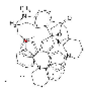 CN(C)c1ccc2c(c1)C(C=C(c1ccccc1N1CCCCC1)c1ccccc1N1CCCCC1)(C=C(c1ccccc1N1CCCCC1)c1ccccc1N1CCCCC1)OC2=O